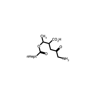 CCCCCCCC(=O)OC(C)C(CC(=O)CN)C(=O)O